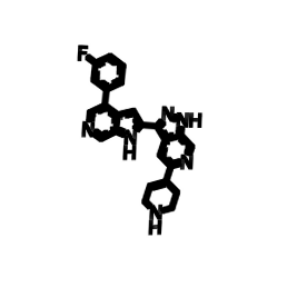 Fc1cccc(-c2cncc3[nH]c(-c4n[nH]c5cnc(C6=CCNCC6)cc45)cc23)c1